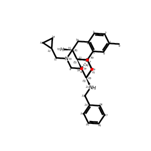 Cc1ccc2c(c1)[C@]13CCN(CC4CC4)[C@H](C2)[C@]12CC[C@@](NCc1ccccc1)(CO2)C3